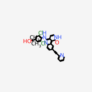 CC(C)(O)c1cc(Cl)c(Nc2nc3ccc(C#Cc4ccccn4)cc3c3c(=O)[nH]ccc23)c(Cl)c1